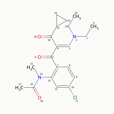 CCN(C=C(C(=O)c1ccc(Cl)cc1N(C)C(C)=O)C(=O)C1CC1)CC